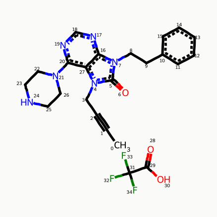 CC#CCn1c(=O)n(CCc2ccccc2)c2ncnc(N3CCNCC3)c21.O=C(O)C(F)(F)F